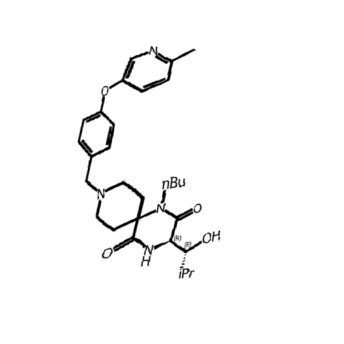 CCCCN1C(=O)[C@@H]([C@H](O)C(C)C)NC(=O)C12CCN(Cc1ccc(Oc3ccc(C)nc3)cc1)CC2